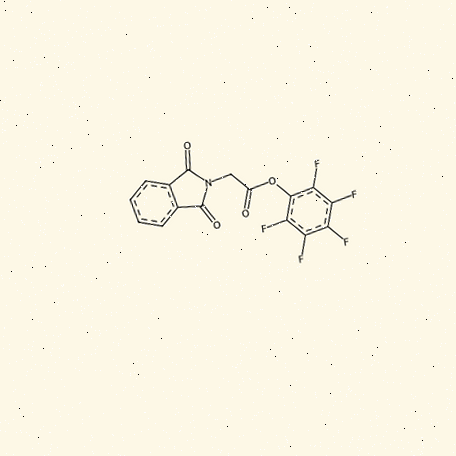 O=C(CN1C(=O)c2ccccc2C1=O)Oc1c(F)c(F)c(F)c(F)c1F